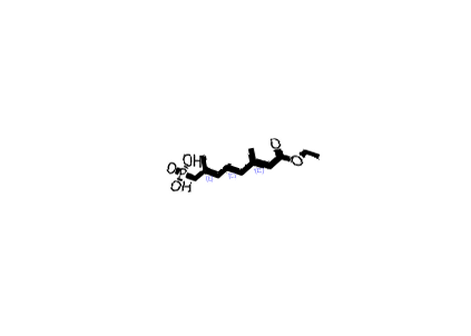 CCOC(=O)/C=C(C)/C=C/C=C(\C)CP(=O)(O)O